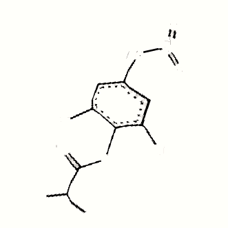 CC(C)C(=O)Oc1c(Cl)cc(N[SH](=O)=O)cc1Cl